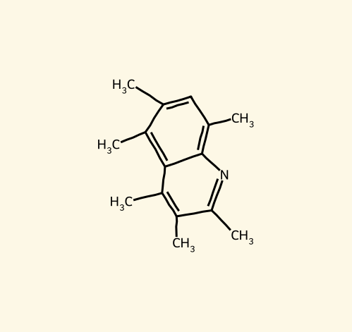 Cc1cc(C)c2nc(C)c(C)c(C)c2c1C